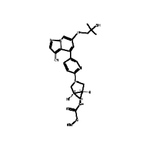 CC(C)(O)COc1cc(-c2ccc(N3C[C@@H]4[C@H](C3)[C@@H]4NC(=O)OC(C)(C)C)nc2)c2c(C#N)cnn2c1